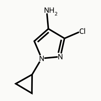 Nc1cn(C2CC2)nc1Cl